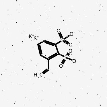 C=Cc1cccc(S(=O)(=O)[O-])c1S(=O)(=O)[O-].[K+].[K+]